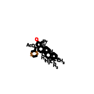 CC(=O)OC(C1CSCCS1)[C@@]12CC[C@]3(C)[C@H](CC[C@@H]4[C@@]5(C)CC[C@H](C)C(C)(C)[C@@H]5CC[C@]43C)C1=C(C(C)C)C(=O)C2